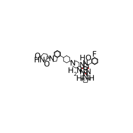 Nc1nnc(-c2cccc(F)c2O)cc1N1C[C@H]2CC[C@@H](C1)N2c1nccc(C2CCN(C3CCC(c4cccc5c4CCN5[C@H]4CCC(=O)NC4=O)CC3)CC2)n1